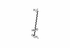 CCCCCCCCCCCCCCCC(=O)NCCCC(C)=O